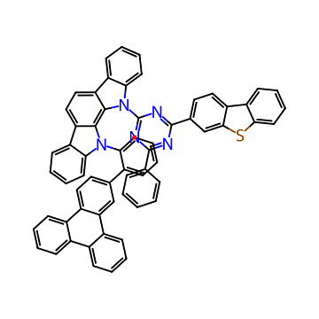 c1ccc(-c2nc(-c3ccc4c(c3)sc3ccccc34)nc(-n3c4ccccc4c4ccc5c6ccccc6n(-c6ccccc6-c6ccc7c8ccccc8c8ccccc8c7c6)c5c43)n2)cc1